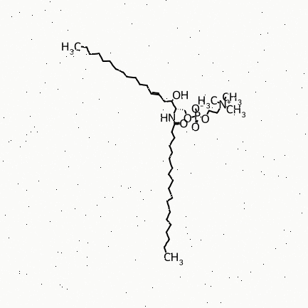 CCCCCCCCCCCCC=CC[C@@H](O)[C@H](COP(=O)([O-])OCC[N+](C)(C)C)NC(=O)CCCCCCCCCCCCCCCCCC